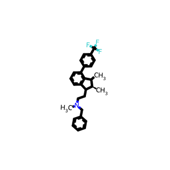 CC1c2c(-c3ccc(C(F)(F)F)cc3)cccc2C(CCN(C)Cc2ccccc2)[C@@H]1C